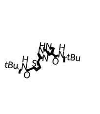 C[C@H](NC(=O)c1c[nH]c2ncc(-c3ccc(C(=O)N[C@H](C)C(C)(C)C)s3)nc12)C(C)(C)C